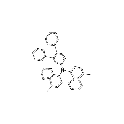 Cc1ccc(N(c2ccc(-c3ccccc3)c(-c3ccccc3)c2)c2ccc(C)c3ccccc23)c2ccccc12